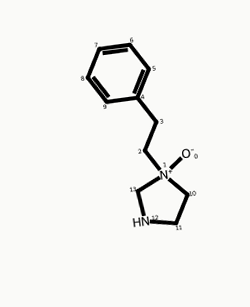 [O-][N+]1(CCc2ccccc2)CCNC1